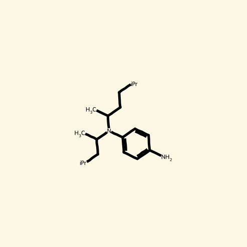 CC(C)CCC(C)N(c1ccc(N)cc1)C(C)CC(C)C